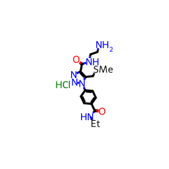 CCNC(=O)c1ccc(-n2nnc(C(=O)NCCN)c2CSC)cc1.Cl